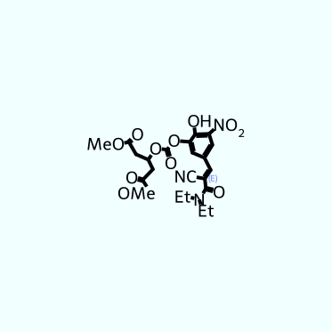 CCN(CC)C(=O)/C(C#N)=C/c1cc(OC(=O)OC(CC(=O)OC)CC(=O)OC)c(O)c([N+](=O)[O-])c1